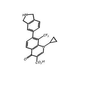 O=C(O)c1cn(C2CC2)c2c(C(F)(F)F)c(-c3ccc4c(c3)CNC4)ccc2c1=O